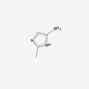 Bc1cnc(C)[nH]1